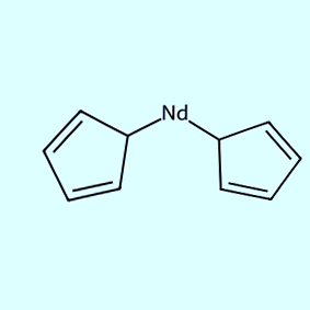 C1=C[CH]([Nd][CH]2C=CC=C2)C=C1